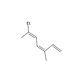 C=CC(C)=CC=C(C)CC